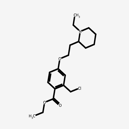 CCOC(=O)c1ccc(OCCC2CCCCN2CC)cc1CCl